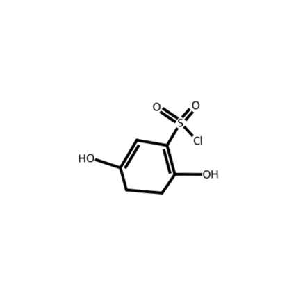 O=S(=O)(Cl)C1=C(O)CCC(O)=C1